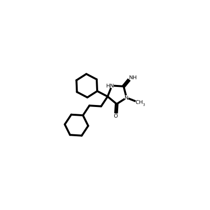 CN1C(=N)NC(CCC2CCCCC2)(C2CCCCC2)C1=O